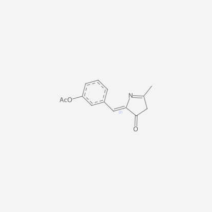 CC(=O)Oc1cccc(/C=C2\N=C(C)CC2=O)c1